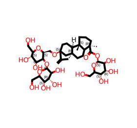 C=C1C[C@@]23CCC4[C@](C)(C(=O)O[C@@H]5OC(CO)[C@@H](O)[C@@H](O)C5O)CCC[C@@]4(C)[C@@H]2CC[C@]1(OC[C@@H]1OC(CO)[C@@H](O)[C@@H](O)C1O[C@@H]1OC(CO)[C@@H](O)[C@@H](O)C1O)C3